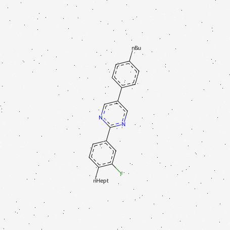 CCCCCCCc1ccc(-c2ncc(-c3ccc(CCCC)cc3)cn2)cc1F